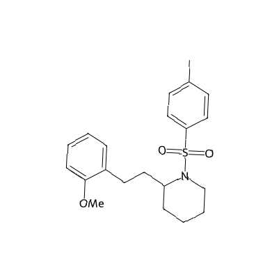 COc1ccccc1CCC1CCCCN1S(=O)(=O)c1ccc(C)cc1